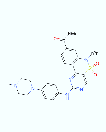 CCCN1c2cc(C(=O)NC)ccc2-c2nc(Nc3ccc(N4CCN(C)CC4)cc3)ncc2S1(=O)=O